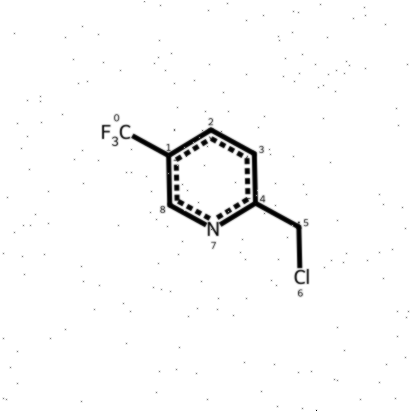 FC(F)(F)c1ccc([CH]Cl)nc1